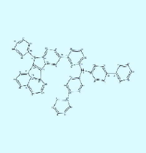 c1ccc(-c2ccc(N(c3ccc(-c4ccccc4)cc3)c3cccc(-c4ccc5c(c4)c4c(n5-c5ccccc5)-c5cccc6cccc-4c56)c3)cc2)cc1